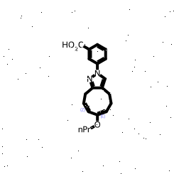 CCCOC1=C/CCc2cn(-c3cccc(C(=O)O)c3)nc2C/C=C\1